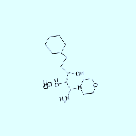 Cl.Cl.NC(C(O)C(O)CCC1CCCCC1)N1CCOCC1